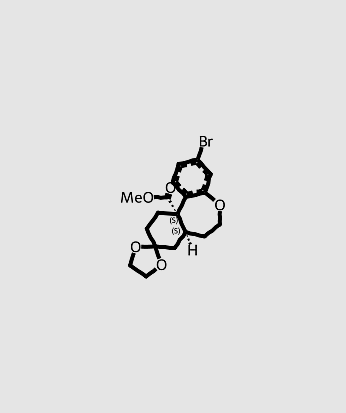 COC(=O)[C@@]12CCC3(C[C@@H]1CCOc1cc(Br)ccc12)OCCO3